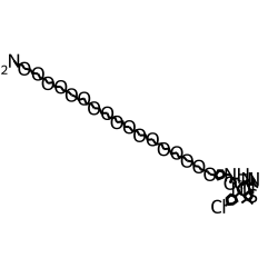 Cc1sc2c(c1C)C(c1ccc(Cl)cc1)=N[C@@H](CC(=O)Nc1ccc(OCCOCCOCCOCCOCCOCCOCCOCCOCCOCCOCCOCCOCCOCCOCCOCCOCCN)cc1)c1nnc(C)n1-2